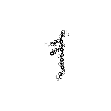 C=CC(=O)OCOc1ccc(C(=O)Oc2ccc(C(=O)OCCc3ccc(OC(=O)c4ccc(OCOC(=O)C=C)c(OCOC(=O)C=C)c4)c(/C=N/Nc4nc5ccccc5s4)c3)cc2)cc1